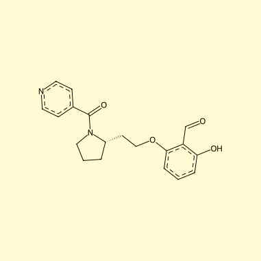 O=Cc1c(O)cccc1OCC[C@@H]1CCCN1C(=O)c1ccncc1